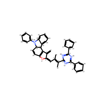 C=c1c2c(o/c1=C/C(C)=C(\C)c1nc(-c3ccccc3)nc(-c3ccccc3)n1)C=CC1C2c2ccccc2N1c1ccccc1